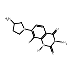 CCn1c(=O)n(N)c(=O)c2ccc(N3CCC(N)C3)c(F)c21